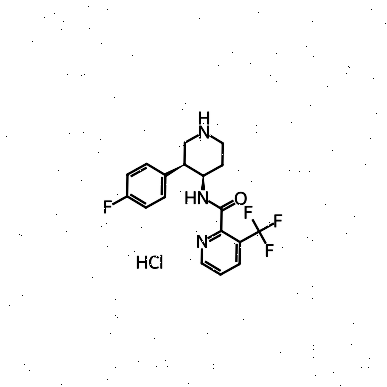 Cl.O=C(N[C@@H]1CCNC[C@@H]1c1ccc(F)cc1)c1ncccc1C(F)(F)F